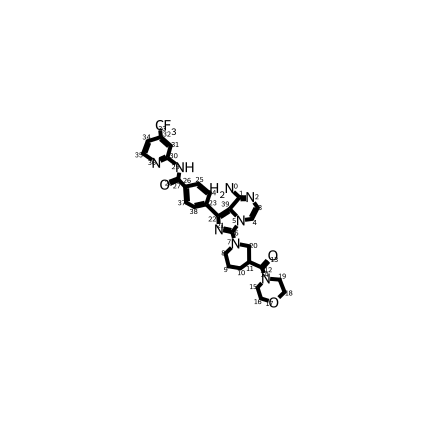 Nc1nccn2c(N3CCCC(C(=O)N4CCOCC4)C3)nc(-c3ccc(C(=O)Nc4cc(C(F)(F)F)ccn4)cc3)c12